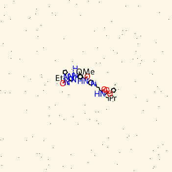 CCC1C(=O)N(C)c2cnc(Nc3ccc(C(=O)NC4CCN(CCCCC(=O)N[C@@H](CC(C)C)C(=O)OC5CCCC5)CC4)cc3OC)nc2N1C1CCCC1